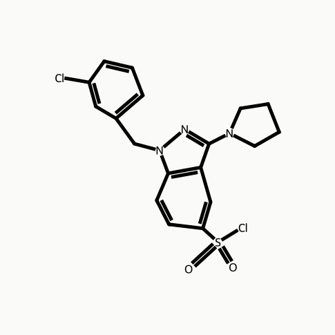 O=S(=O)(Cl)c1ccc2c(c1)c(N1CCCC1)nn2Cc1cccc(Cl)c1